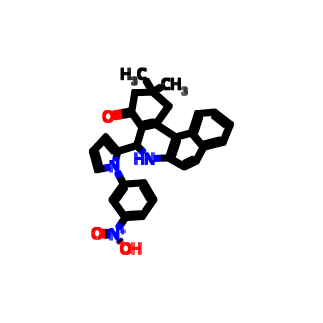 CC1(C)CC(=O)C2=C(C1)c1c(ccc3ccccc13)NC2c1cccn1-c1cccc([N+](=O)O)c1